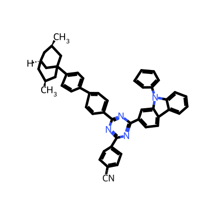 C[C@@H]1C[C@@H]2C[C@H](C)CC(c3ccc(-c4ccc(-c5nc(-c6ccc(C#N)cc6)nc(-c6ccc7c8ccccc8n(-c8ccccc8)c7c6)n5)cc4)cc3)(C1)C2